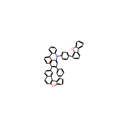 c1ccc(-c2cc(N(c3ccc(-c4cccc5c4oc4ccccc45)cc3)c3ccccc3-c3ccccc3)ccc2-c2ccc3ccc4oc5ccccc5c4c3c2)cc1